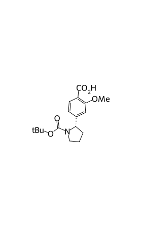 COc1cc([C@@H]2CCCN2C(=O)OC(C)(C)C)ccc1C(=O)O